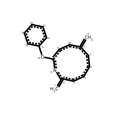 C=c1ccccc(=C)nc(Oc2ccccc2)cc1